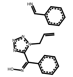 C=CCn1nnnc1C(=NO)c1ccccc1.N=Cc1ccccc1